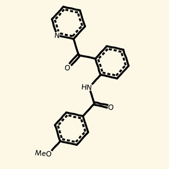 COc1ccc(C(=O)Nc2ccccc2C(=O)c2ccccn2)cc1